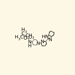 CC(C)(C)OC(=O)NC1CCN(c2cccc(-c3nc4ccccc4[nH]3)n2)CC1